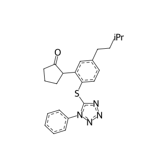 CC(C)CCc1ccc(Sc2nnnn2-c2ccccc2)c(C2CCCC2=O)c1